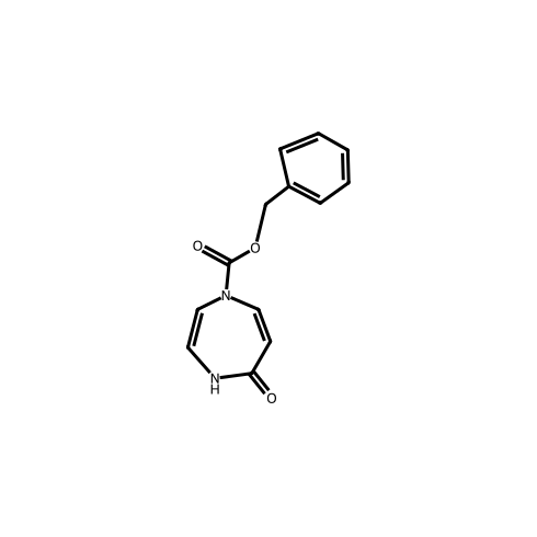 O=C1C=CN(C(=O)OCc2ccccc2)C=CN1